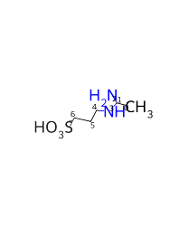 CC(N)NCCCS(=O)(=O)O